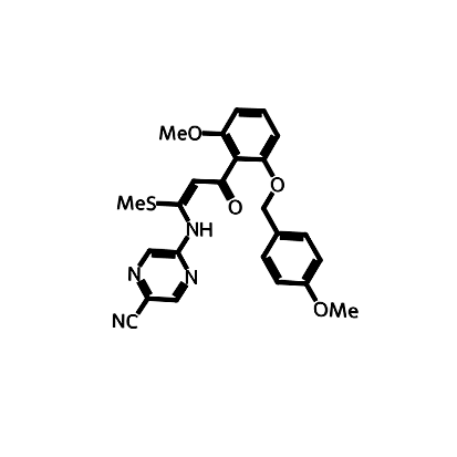 COc1ccc(COc2cccc(OC)c2C(=O)C=C(Nc2cnc(C#N)cn2)SC)cc1